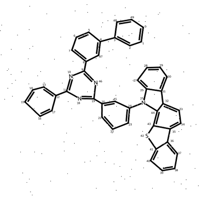 c1ccc(-c2cccc(-c3nc(-c4ccccc4)nc(-c4cccc(-n5c6ccccc6c6ccc7c8ccccc8sc7c65)c4)n3)c2)cc1